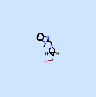 Cn1c(CN2C[C@@H]3[C@H](CO)[C@@H]3C2)nc2ccccc21